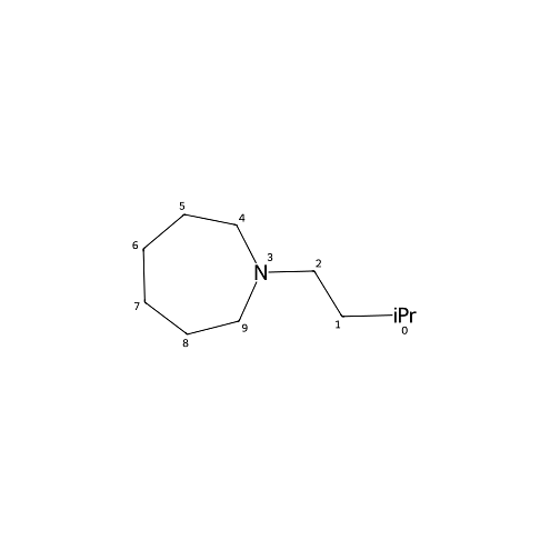 CC(C)CCN1CCCCCC1